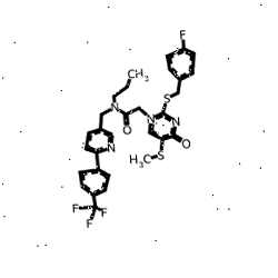 CCCN(Cc1ccc(-c2ccc(C(F)(F)F)cc2)nc1)C(=O)Cn1cc(SC)c(=O)nc1SCc1ccc(F)cc1